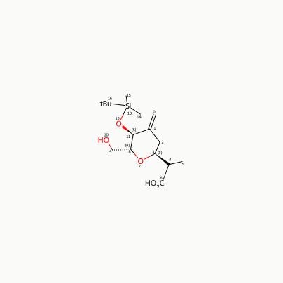 C=C1C[C@@H](C(C)C(=O)O)O[C@H](CO)[C@H]1O[Si](C)(C)C(C)(C)C